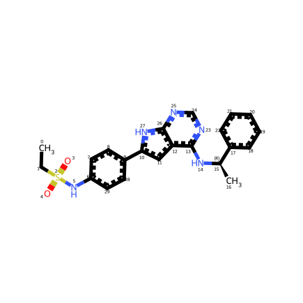 CCS(=O)(=O)Nc1ccc(-c2cc3c(N[C@H](C)c4ccccc4)ncnc3[nH]2)cc1